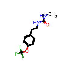 CNC(=O)NCCc1ccc(OC(F)(F)F)cc1